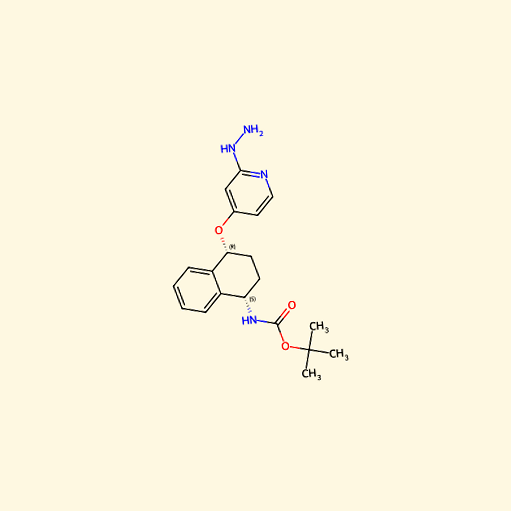 CC(C)(C)OC(=O)N[C@H]1CC[C@@H](Oc2ccnc(NN)c2)c2ccccc21